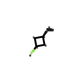 CS[C@H]1C[C@@H](F)C1